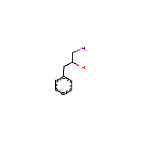 OC(CP)Cc1ccccc1